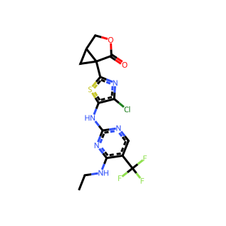 CCNc1nc(Nc2sc(C34CC3COC4=O)nc2Cl)ncc1C(F)(F)F